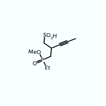 CC#CC(CP(=O)(CC)OC)CS(=O)(=O)O